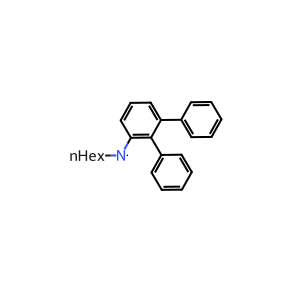 CCCCCC[N]c1cccc(-c2ccccc2)c1-c1ccccc1